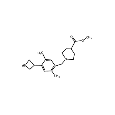 COC(=O)C1CCN(Cc2cc(C)c(C3CNC3)cc2C)CC1